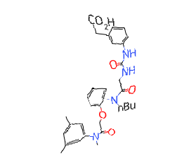 CCCCN(C(=O)CNC(=O)Nc1cccc(CC(=O)O)c1)c1ccccc1OCC(=O)N(C)c1cc(C)cc(C)c1